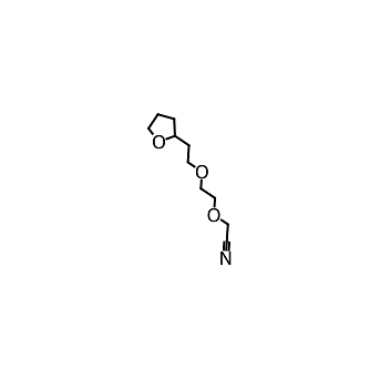 N#CCOCCOCCC1CCCO1